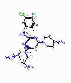 NC1CCN(c2nc(Nc3ccc(Cl)c(Cl)c3)nc(N3C[C@H](N)C[C@H](N)C3)n2)CC1